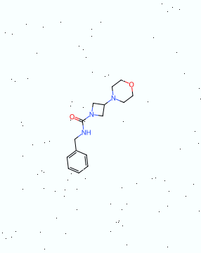 O=C(NCc1ccccc1)N1CC(N2CCOCC2)C1